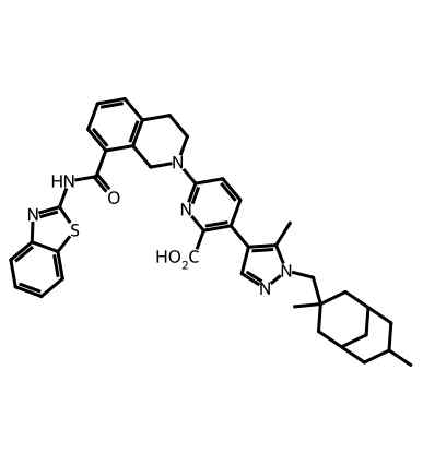 Cc1c(-c2ccc(N3CCc4cccc(C(=O)Nc5nc6ccccc6s5)c4C3)nc2C(=O)O)cnn1CC1(C)CC2CC(C)CC(C2)C1